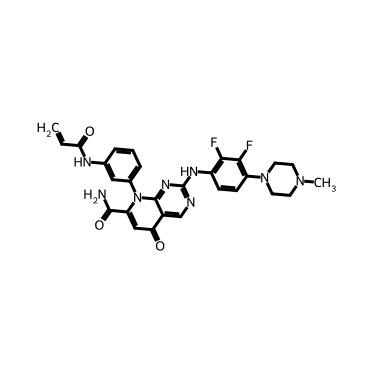 C=CC(=O)Nc1cccc(-n2c(C(N)=O)cc(=O)c3cnc(Nc4ccc(N5CCN(C)CC5)c(F)c4F)nc32)c1